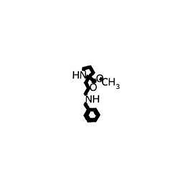 COC(=O)C1(CCCNCC2=C=C=CC=C2)CCCN1